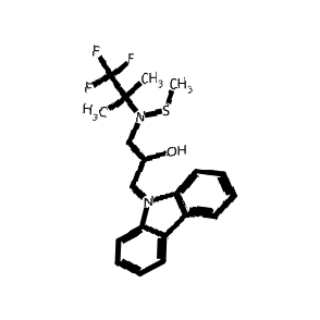 CSN(CC(O)Cn1c2ccccc2c2ccccc21)C(C)(C)C(F)(F)F